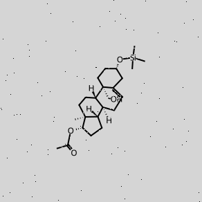 CC(=O)O[C@H]1CC[C@H]2[C@@H]3CC=C4C[C@@H](O[Si](C)(C)C)CC[C@]4(CO)[C@H]3CC[C@]12C